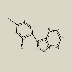 Fc1ccc(-n2ncc3ncccc32)c(F)c1